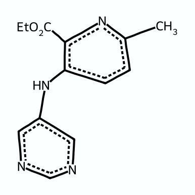 CCOC(=O)c1nc(C)ccc1Nc1cncnc1